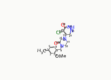 COc1cc(C)ccc1CN1CCN(c2cn[nH]c(=O)c2Cl)CC1=O